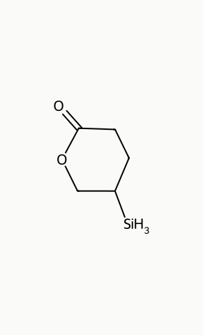 O=C1CCC([SiH3])CO1